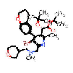 Cc1nc(CN(C)CC2CCOCC2)c(Br)c(-c2ccc3c(c2)CCCO3)c1[C@H](OC(C)(C)C)C(=O)OC(C)C